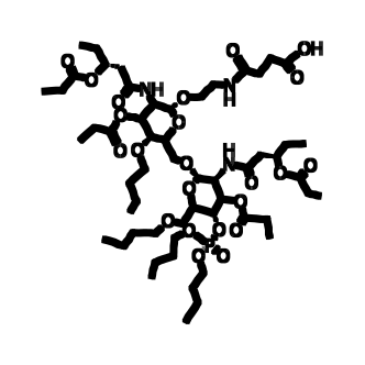 CCCCOCC1O[C@@H](OCC2O[C@@H](OCCNC(=O)CCC(=O)O)C(NC(=O)C[C@@H](CC)OC(=O)CC)C(OC(=O)CC)[C@@H]2OCCCC)[C@@H](NC(=O)C[C@@H](CC)OC(=O)CC)C(OC(=O)CC)[C@@H]1OP(=O)(OCCCC)OCCCC